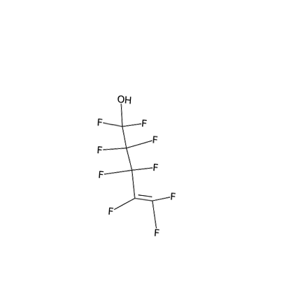 OC(F)(F)C(F)(F)C(F)(F)C(F)=C(F)F